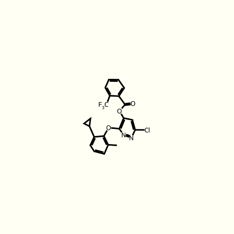 Cc1cccc(C2CC2)c1Oc1nnc(Cl)cc1OC(=O)c1ccccc1C(F)(F)F